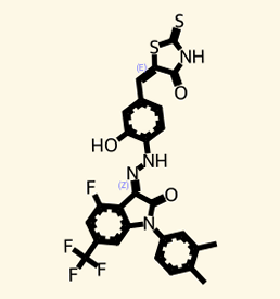 Cc1ccc(N2C(=O)/C(=N\Nc3ccc(/C=C4/SC(=S)NC4=O)cc3O)c3c(F)cc(C(F)(F)F)cc32)cc1C